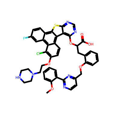 COc1ccccc1-c1nccc(COc2ccccc2CC(Oc2ncnc3sc4c5ccc(F)cc5c5c(Cl)c(OCCN6CCNCC6)ccc5c4c23)C(=O)O)n1